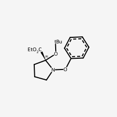 CCOC(=O)[C@]1(OC(C)(C)C)CCCN1Oc1ccccc1